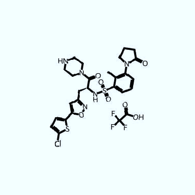 Cc1c(N2CCCC2=O)cccc1S(=O)(=O)N[C@@H](Cc1cc(-c2ccc(Cl)s2)on1)C(=O)N1CCNCC1.O=C(O)C(F)(F)F